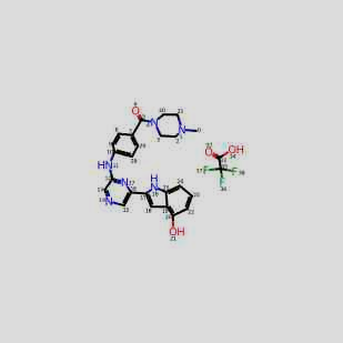 CN1CCN(C(=O)c2ccc(Nc3cncc(-c4cc5c(O)cccc5[nH]4)n3)cc2)CC1.O=C(O)C(F)(F)F